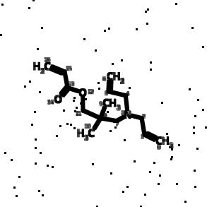 C=CCN(CC=C)CC(C)(C)COC(=O)C=C